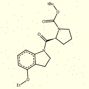 CCOc1cccc2c1CCN2C(=O)[C@@H]1CCCN1C(=O)OC(C)(C)C